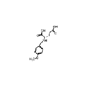 COc1ccc(CN[C@@H](CCC(=O)O)C(=O)O)cc1